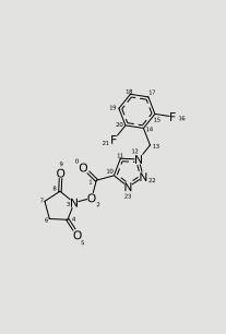 O=C(ON1C(=O)CCC1=O)c1cn(Cc2c(F)cccc2F)nn1